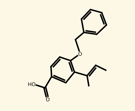 CC=C(C)c1cc(C(=O)O)ccc1OCc1ccccc1